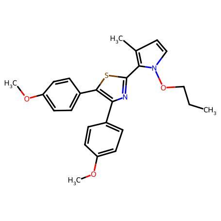 CCCOn1ccc(C)c1-c1nc(-c2ccc(OC)cc2)c(-c2ccc(OC)cc2)s1